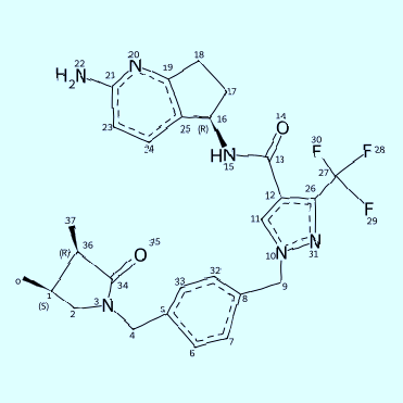 C[C@@H]1CN(Cc2ccc(Cn3cc(C(=O)N[C@@H]4CCc5nc(N)ccc54)c(C(F)(F)F)n3)cc2)C(=O)[C@@H]1C